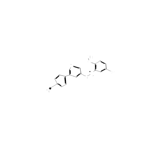 COc1ccc(Br)cc1S(=O)(=O)Nc1cncc(-c2ccc(C#N)cc2)c1